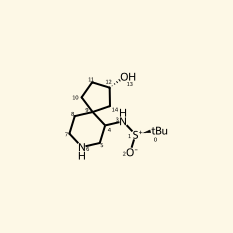 CC(C)(C)[S@@+]([O-])NC1CNCCC12CC[C@H](O)C2